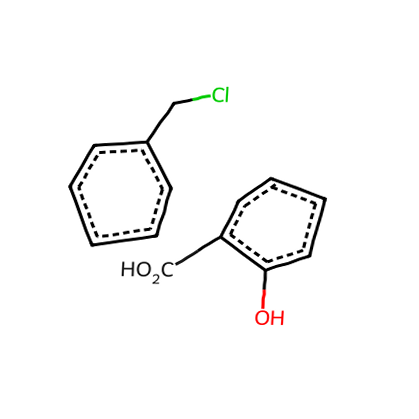 ClCc1ccccc1.O=C(O)c1ccccc1O